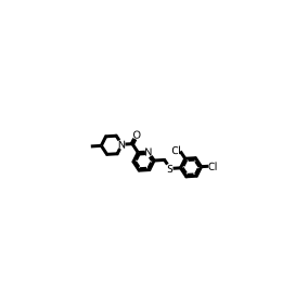 CC1CCN(C(=O)c2cccc(CSc3ccc(Cl)cc3Cl)n2)CC1